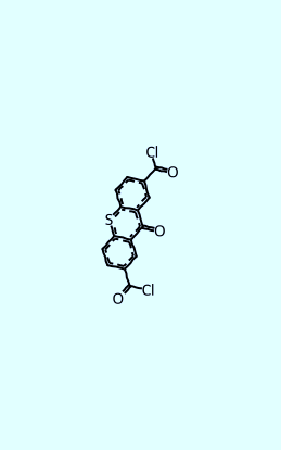 O=C(Cl)c1ccc2sc3ccc(C(=O)Cl)cc3c(=O)c2c1